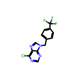 FC(F)(F)c1ccc(Cn2cnc3c(Cl)ncnc32)cc1